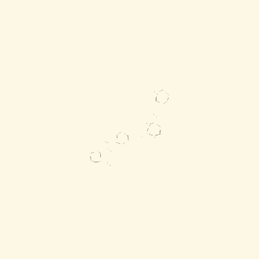 Nc1ccccc1NC(=O)c1ccc(CNc2nc(Cl)cc(NCc3cccnc3)n2)cc1